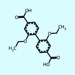 CCOc1cc(C(=O)O)ccc1-c1ccc(C(=O)O)cc1OCC